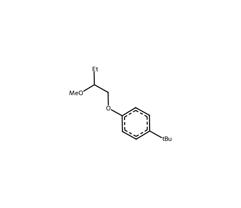 CCC(COc1ccc(C(C)(C)C)cc1)OC